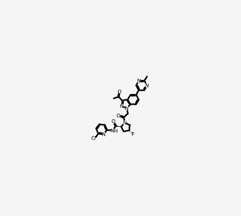 CC(=O)c1nn(CC(=O)N2C[C@H](F)C[C@H]2C(=O)Nc2cccc(Cl)n2)c2ccc(-c3cnc(C)nc3)cc12